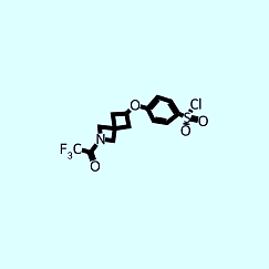 O=C(N1CC2(CC(Oc3ccc(S(=O)(=O)Cl)cc3)C2)C1)C(F)(F)F